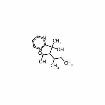 CCC(C)C(C(=O)O)C(C)(O)c1ncccn1